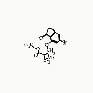 CCOC(=O)C1CNC1.COc1cc(Br)cc2c1C(=O)CC2.Cl